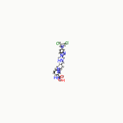 Cn1c(CNCC2CCN(C3(C)C#CC=C(C(=O)NO)C=N3)CC2)nc2cc(N(CCCl)CCCl)ccc21